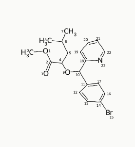 COC(=O)C(CC(C)C)OC(c1ccc(Br)cc1)c1ccccn1